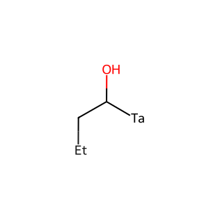 CCC[CH](O)[Ta]